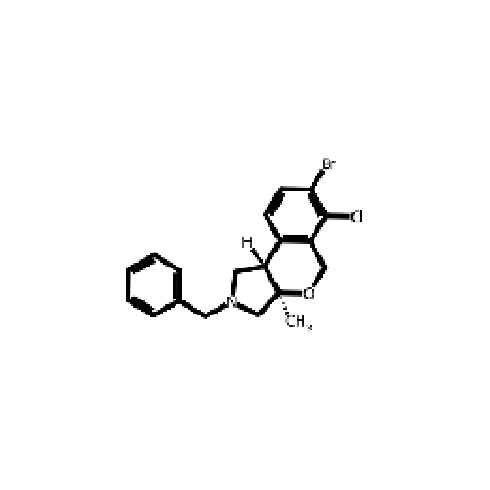 C[C@]12CN(Cc3ccccc3)C[C@@H]1c1ccc(Br)c(Cl)c1CO2